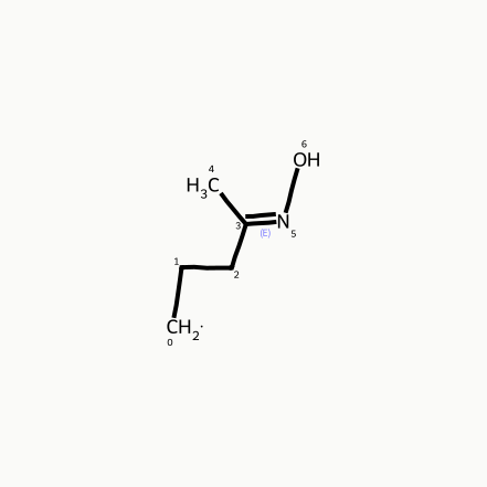 [CH2]CC/C(C)=N/O